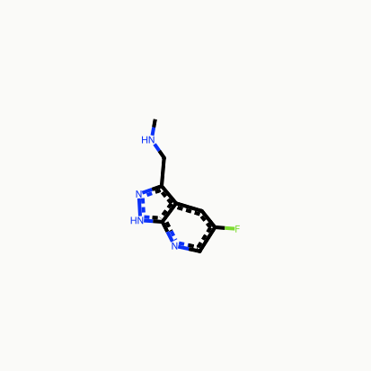 CNCc1n[nH]c2ncc(F)cc12